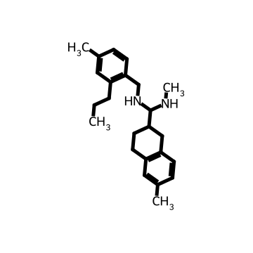 CCCc1cc(C)ccc1CNC(NC)C1CCc2cc(C)ccc2C1